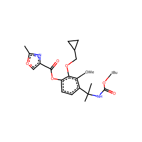 COc1c(C(C)(C)NC(=O)OC(C)(C)C)ccc(OC(=O)c2coc(C)n2)c1OCC1CC1